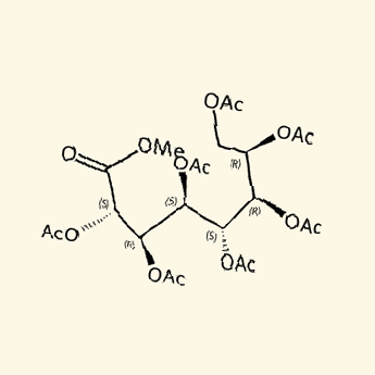 COC(=O)[C@@H](OC(C)=O)[C@H](OC(C)=O)[C@@H](OC(C)=O)[C@@H](OC(C)=O)[C@H](OC(C)=O)[C@@H](COC(C)=O)OC(C)=O